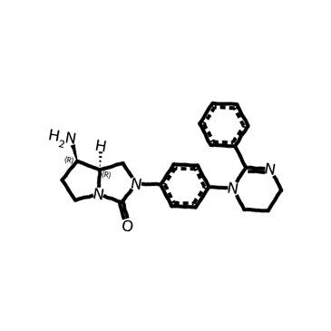 N[C@@H]1CCN2C(=O)N(c3ccc(N4CCCN=C4c4ccccc4)cc3)C[C@H]12